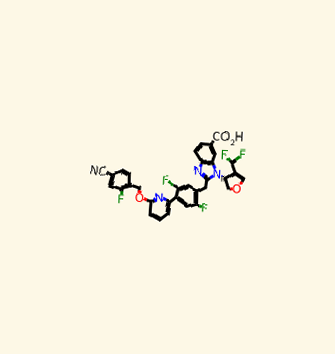 N#Cc1ccc(COc2cccc(-c3cc(F)c(Cc4nc5ccc(C(=O)O)cc5n4[C@H]4COCC4C(F)F)cc3F)n2)c(F)c1